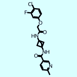 Cc1ccc(C(=O)NC23CC(NC(=O)COc4ccc(Cl)c(F)c4)(C2)C3)cn1